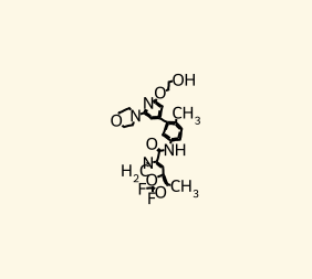 C=N/C(=C\C1=C(C)OC(F)(F)O1)C(=O)Nc1ccc(C)c(-c2cc(OCCO)nc(N3CCOCC3)c2)c1